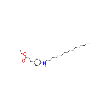 CCCCCCCCCCCCCCCCN(C)c1ccc(CCC(=O)OCC)cc1